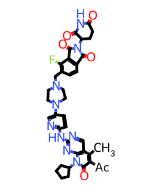 CC(=O)c1c(C)c2cnc(Nc3ccc(N4CCN(Cc5ccc6c(c5F)C(=O)N(C5CCC(=O)NC5=O)C6=O)CC4)cn3)nc2n(C2CCCC2)c1=O